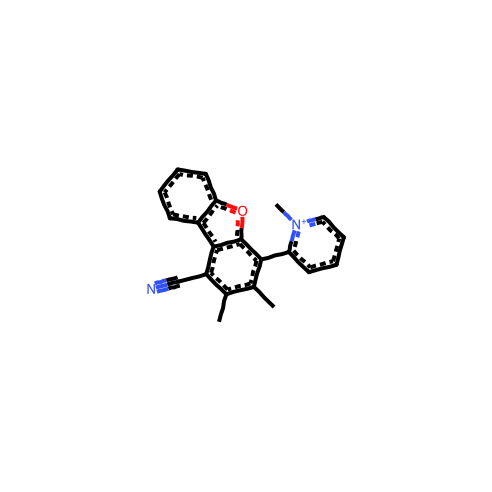 Cc1c(C)c(C#N)c2c(oc3ccccc32)c1-c1cccc[n+]1C